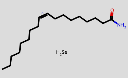 CCCCCCCC/C=C\CCCCCCCC(N)=O.[SeH2]